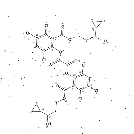 CC(CCOC(=O)c1c(Cl)c(Cl)cc(Cl)c1OC(=O)C(=O)Oc1c(Cl)cc(Cl)c(Cl)c1C(=O)OCCC(C)C1CC1)C1CC1